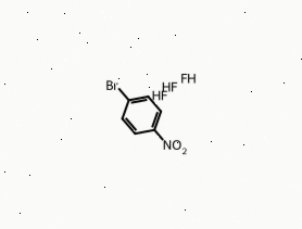 F.F.F.O=[N+]([O-])c1ccc(Br)cc1